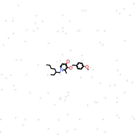 CCCCC(CC)Cn1ccc(=O)c(OCc2ccc(OC)cc2)c1C